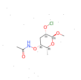 CO[C@H]1O[C@H](C)[C@H](ONC(C)=O)C[C@@H]1OCl